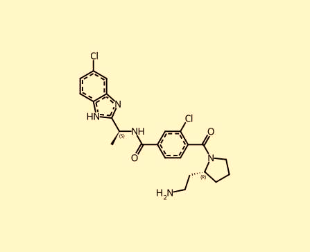 C[C@H](NC(=O)c1ccc(C(=O)N2CCC[C@@H]2CCN)c(Cl)c1)c1nc2cc(Cl)ccc2[nH]1